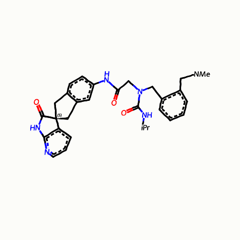 CNCc1ccccc1CN(CC(=O)Nc1ccc2c(c1)C[C@]1(C2)C(=O)Nc2ncccc21)C(=O)NC(C)C